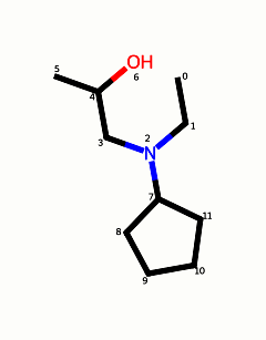 CCN(CC(C)O)C1CCCC1